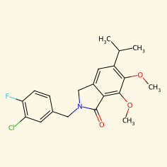 COc1c(C(C)C)cc2c(c1OC)C(=O)N(Cc1ccc(F)c(Cl)c1)C2